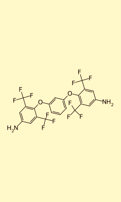 Nc1cc(C(F)(F)F)c(Oc2cccc(Oc3c(C(F)(F)F)cc(N)cc3C(F)(F)F)c2)c(C(F)(F)F)c1